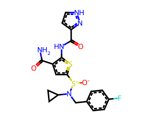 NC(=O)c1cc([S+]([O-])N(Cc2ccc(F)cc2)C2CC2)sc1NC(=O)c1cc[nH]n1